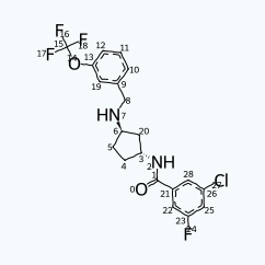 O=C(N[C@@H]1CC[C@@H](NCc2cccc(OC(F)(F)F)c2)C1)c1cc(F)cc(Cl)c1